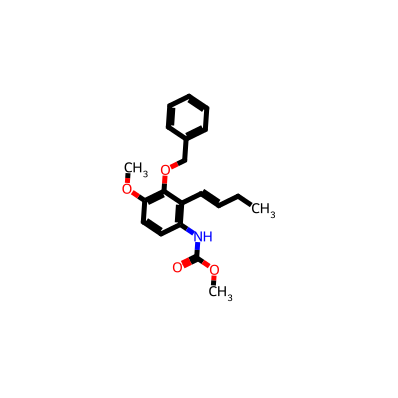 CCC=Cc1c(NC(=O)OC)ccc(OC)c1OCc1ccccc1